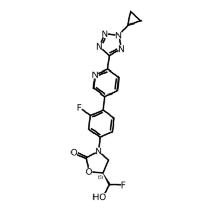 O=C1O[C@H](C(O)F)CN1c1ccc(-c2ccc(-c3nnn(C4CC4)n3)nc2)c(F)c1